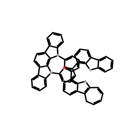 C1=CCc2c(sc3c(-c4cccc(-n5c6ccccc6c6ccc7c8ccccc8n(-c8cccc(-c9cccc%10c9sc9ccccc9%10)n8)c7c65)c4)cccc23)C=C1